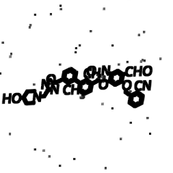 Cc1c(COc2cc(OCc3ccccc3C#N)c(C=O)cc2[N+](=O)[O-])cccc1-c1cccc(-c2nc(CN3CCC(O)CC3)no2)c1C